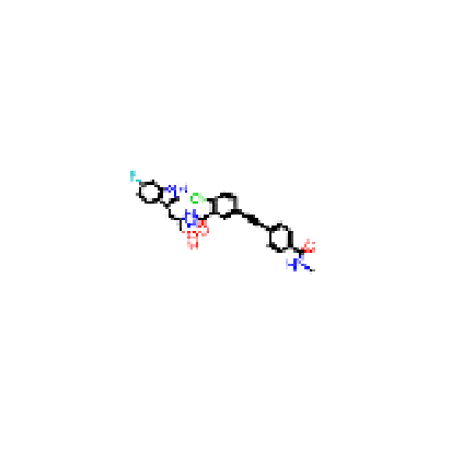 CNC(=O)c1ccc(C#Cc2ccc(Cl)c(C(=O)NC(CO)Cc3c[nH]c4cc(F)ccc34)c2)cc1